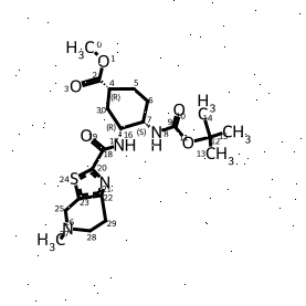 COC(=O)[C@@H]1CC[C@H](NC(=O)OC(C)(C)C)[C@H](NC(=O)c2nc3c(s2)CN(C)CC3)C1